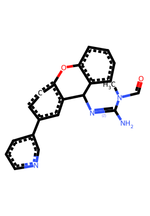 CN(C=O)/C(N)=N\C1c2ccccc2Oc2ccc(-c3cccnc3)cc21